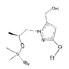 CCOc1cc(CO)n(C[C@H](C)O[Si](C)(C)C(C)(C)C)n1